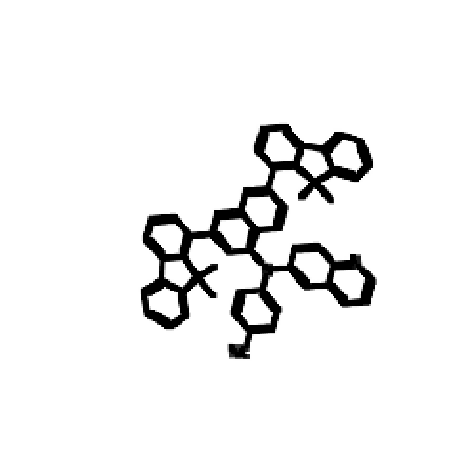 CC1(C)c2ccccc2-c2cccc(-c3ccc4c(N(c5ccc(C#N)cc5)c5ccc6ncccc6c5)cc(-c5cccc6c5C(C)(C)c5ccccc5-6)cc4c3)c21